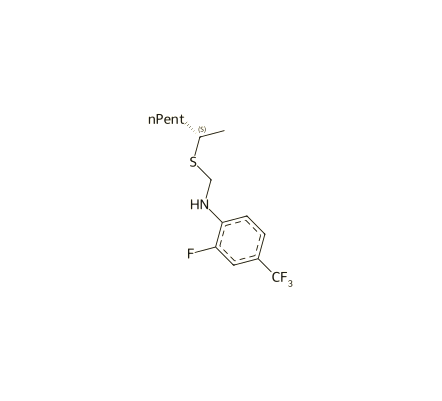 CCCCC[C@H](C)SCNc1ccc(C(F)(F)F)cc1F